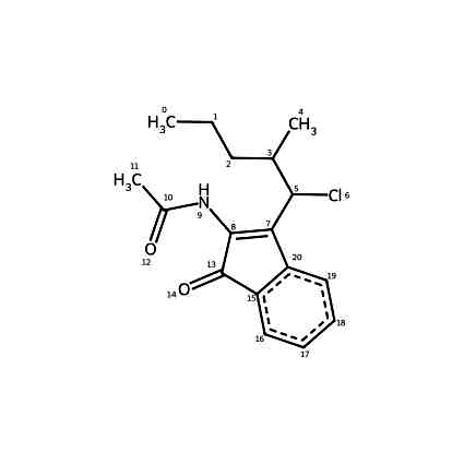 CCCC(C)C(Cl)C1=C(NC(C)=O)C(=O)c2ccccc21